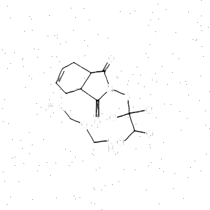 CCOCC.O=C1C2CC=CCC2C(=O)N1SC(Cl)(Cl)C(Cl)Cl